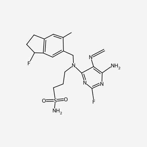 C=Nc1c(N)nc(F)nc1N(CCCS(N)(=O)=O)Cc1cc2c(cc1C)CCC2F